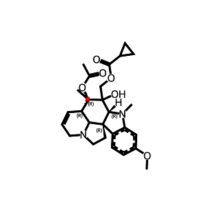 CC[C@]12C=CCN3CC[C@@]4(c5ccc(OC)cc5N(C)[C@H]4C(O)(COC(=O)C4CC4)[C@@H]1OC(C)=O)C32